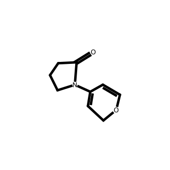 O=C1CCCN1C1=CCOC=C1